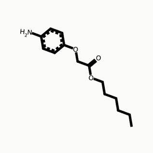 CCCCCCOC(=O)COc1ccc(N)cc1